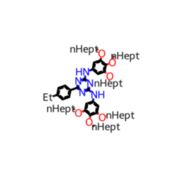 [CH2]Cc1ccc(-c2nc(Nc3cc(OCCCCCCC)c(OCCCCCCC)c(OCCCCCCC)c3)nc(Nc3cc(OCCCCCCC)c(OCCCCCCC)c(OCCCCCCC)c3)n2)cc1